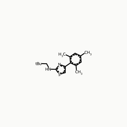 Cc1cc(C)c(-c2csc(NCC(C)(C)C)n2)c(C)c1